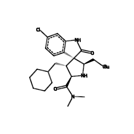 CN(C)C(=O)[C@@H]1N[C@H](CC(C)(C)C)[C@]2(C(=O)Nc3cc(Cl)ccc32)[C@H]1CC1CCCCC1